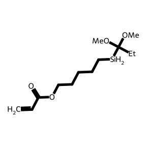 C=CC(=O)OCCCCC[SiH2]C(CC)(OC)OC